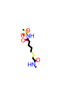 CNC(=O)CSCCCCC(=O)NS(C)(=O)=O